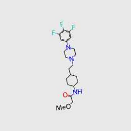 COCC(=O)NC1CCC(CCN2CCN(c3cc(F)c(F)c(F)c3)CC2)CC1